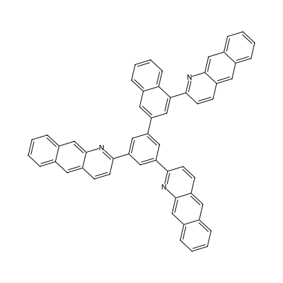 c1ccc2cc3nc(-c4cc(-c5cc(-c6ccc7cc8ccccc8cc7n6)c6ccccc6c5)cc(-c5ccc6cc7ccccc7cc6n5)c4)ccc3cc2c1